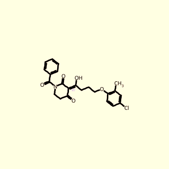 Cc1cc(Cl)ccc1OCCC/C(O)=C1\C(=O)CCN(C(=O)c2ccccc2)C1=O